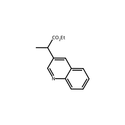 CCOC(=O)C(C)c1cnc2ccccc2c1